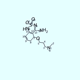 CN(C)CCCOC1CC=CC2=C1C(N)=NS(=O)(=O)N2